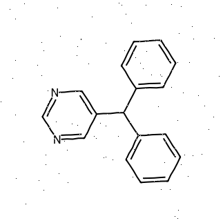 c1ccc(C(c2ccccc2)c2cncnc2)cc1